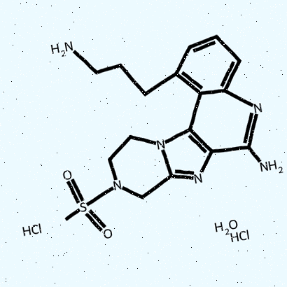 CS(=O)(=O)N1CCn2c(nc3c(N)nc4cccc(CCCN)c4c32)C1.Cl.Cl.O